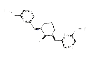 O=C1/C(=C/c2cncc(OC(F)(F)F)n2)CCC/C1=C\c1cncc(OC(F)(F)F)n1